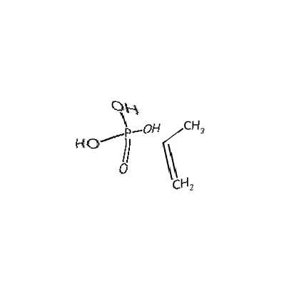 C=CC.O=P(O)(O)O